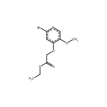 CCOC(=O)COc1cc(Br)ncc1OC